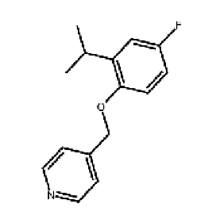 CC(C)c1cc(F)ccc1OCc1ccncc1